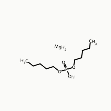 CCCCCOP(=O)(O)OCCCCC.[MgH2]